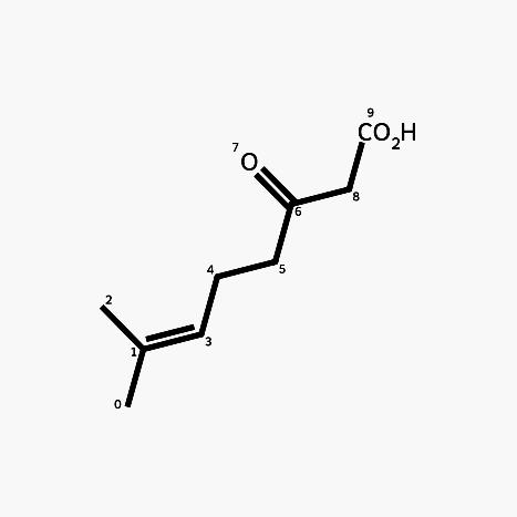 CC(C)=CCCC(=O)CC(=O)O